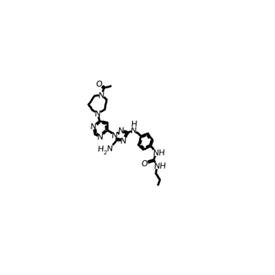 CCCNC(=O)Nc1ccc(Nc2nc(N)n(-c3cc(N4CCCN(C(C)=O)CC4)ncn3)n2)cc1